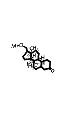 COCC1CC[C@H]2[C@@H]3CCC4CC(=O)CC[C@]4(C)[C@@H]3CC[C@]12C